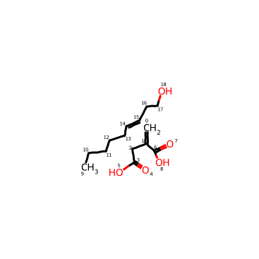 C=C(CC(=O)O)C(=O)O.CCCCCC=CCCO